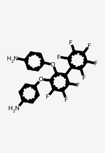 Nc1ccc(Oc2c(F)c(F)c(F)c(-c3c(F)c(F)c(F)c(F)c3F)c2Oc2ccc(N)cc2)cc1